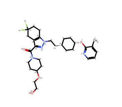 Cc1cccnc1O[C@H]1CC[C@@H](CCn2nc(C(=O)N3CCC(OCCO)CC3)c3c2CCC(F)(F)C3)CC1